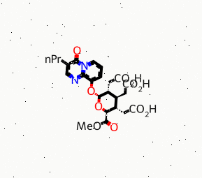 CCCc1cnc2c(O[C@@H]3O[C@H](C(=O)OC)[C@@H](CC(=O)O)[C@H](CC(=O)O)[C@H]3CC(=O)O)cccn2c1=O